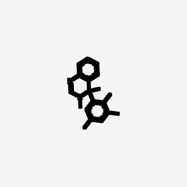 Cc1cc(C)c(C)c(C2(C)c3ccccc3N=CN2C)c1